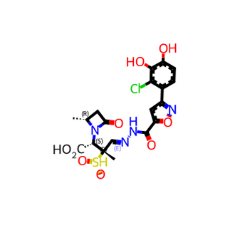 C[C@@H]1CC(=O)N1[C@@H](C(=O)O)[C@](C)(/C=N/NC(=O)c1cc(-c2ccc(O)c(O)c2Cl)no1)[SH](=O)=O